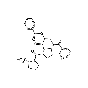 O=C(SCC(SC(=O)c1ccccc1)C(=O)N1CCCC1C(=O)N1CCCC1C(=O)O)c1ccccc1